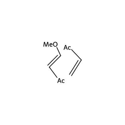 C=CC(C)=O.COC=CC(C)=O